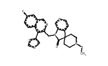 CSN1CCC2(CC1)C(=O)N(Cc1ncc3cc(F)ccc3c1-c1cncs1)c1cnccc12